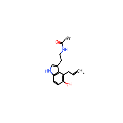 C=CCc1c(O)ccc2[nH]cc(CCNC(=O)CCC)c12